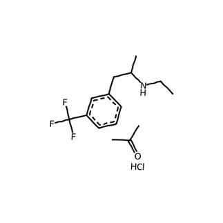 CC(C)=O.CCNC(C)Cc1cccc(C(F)(F)F)c1.Cl